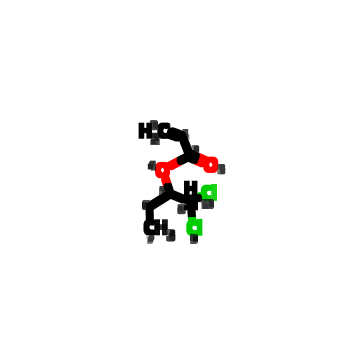 C=CC(=O)OC(CC)[SiH](Cl)Cl